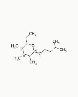 CCC1O[C@@H](OCCC(C)C)C(C)[C@H](C)[C@@H]1C